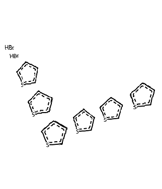 Br.Br.c1ccsc1.c1ccsc1.c1ccsc1.c1ccsc1.c1ccsc1.c1ccsc1